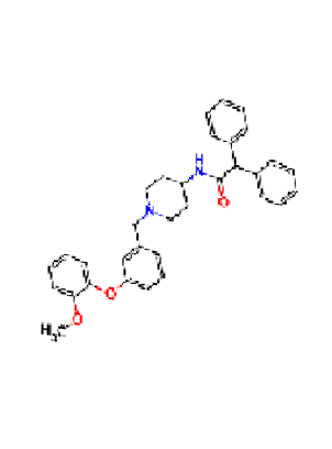 COc1ccccc1Oc1cccc(CN2CCC(NC(=O)C(c3ccccc3)c3ccccc3)CC2)c1